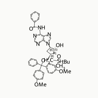 COc1ccc(C(OC[C@H]2C[C@@H](n3cnc4c(NC(=O)c5ccccc5)ncnc43)[C@H](O)[C@@H]2O[Si](C)(C)C(C)(C)C)(c2ccccc2)c2ccc(OC)cc2)cc1